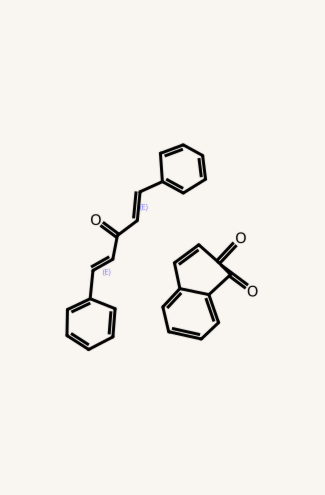 O=C(/C=C/c1ccccc1)/C=C/c1ccccc1.O=C1C=Cc2ccccc2C1=O